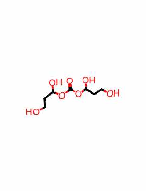 O=C(OC(O)CCO)OC(O)CCO